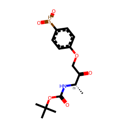 C[C@H](NC(=O)OC(C)(C)C)C(=O)COc1ccc([SH](=O)=O)cc1